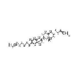 C=CCC[C@@H]1CC[C@@H]2CC(C3CCc4cc(CCCCCCC)ccc4C3)CCC2C1